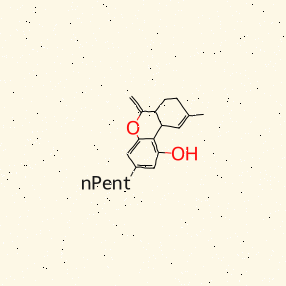 C=C1Oc2cc(CCCCC)cc(O)c2C2C=C(C)CCC12